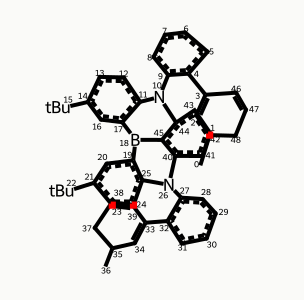 CC1C=C(c2ccccc2N2c3ccc(C(C)(C)C)cc3B3c4cc(C(C)(C)C)ccc4N(c4ccccc4C4=CC(C)CC=C4)c4cccc2c43)C=CC1